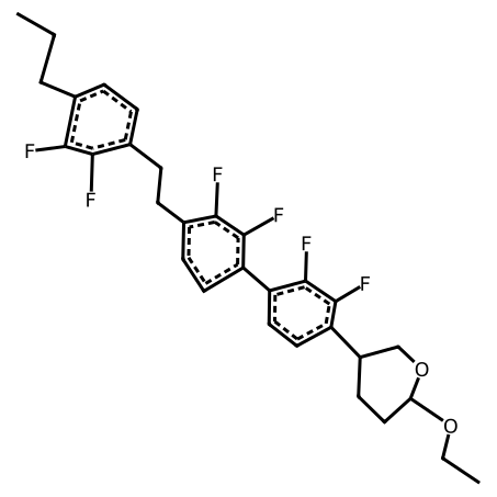 CCCc1ccc(CCc2ccc(-c3ccc(C4CCC(OCC)OC4)c(F)c3F)c(F)c2F)c(F)c1F